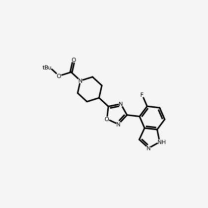 CC(C)(C)OC(=O)N1CCC(c2nc(-c3c(F)ccc4[nH]ncc34)no2)CC1